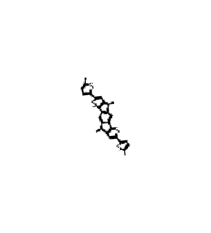 Cc1ccc(-c2cc3c(s2)-c2cc4c(cc2C3C)-c2sc(-c3ccc(C)s3)cc2C4C)s1